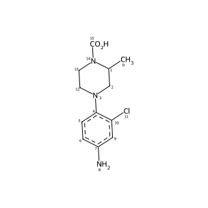 CC1CN(c2ccc(N)cc2Cl)CCN1C(=O)O